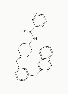 O=C(NC1CCC(=Cc2cccc(Oc3ccc4ccccc4n3)c2)CC1)c1cccnc1